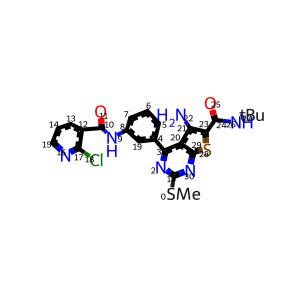 CSc1nc(-c2cccc(NC(=O)c3cccnc3Cl)c2)c2c(N)c(C(=O)NC(C)(C)C)sc2n1